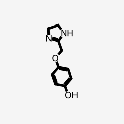 Oc1ccc(OCC2=NCCN2)cc1